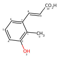 Cc1c(O)cccc1/C=C/C(=O)O